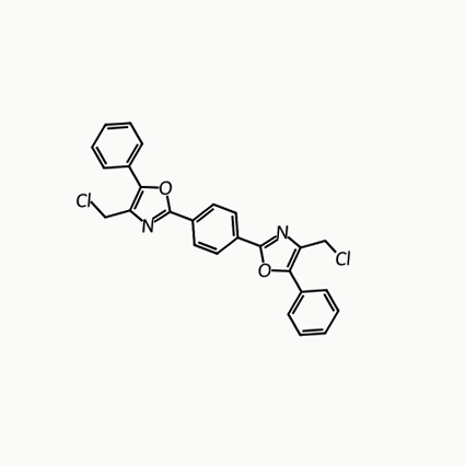 ClCc1nc(-c2ccc(-c3nc(CCl)c(-c4ccccc4)o3)cc2)oc1-c1ccccc1